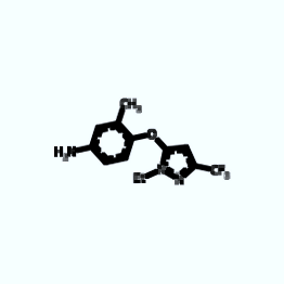 CCn1nc(C(F)(F)F)cc1Oc1ccc(N)cc1C